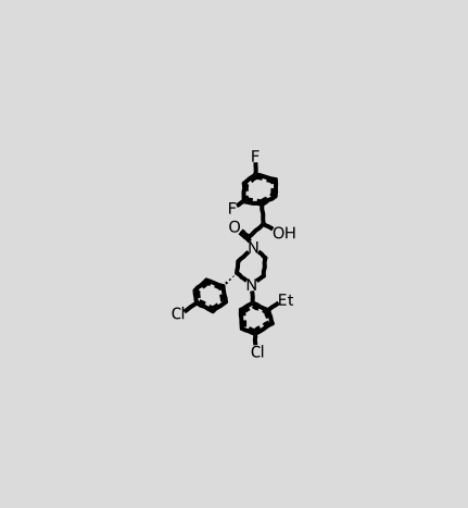 CCc1cc(Cl)ccc1N1CCN(C(=O)C(O)c2ccc(F)cc2F)C[C@H]1c1ccc(Cl)cc1